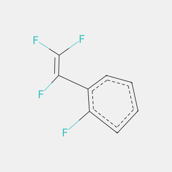 FC(F)=C(F)c1ccccc1F